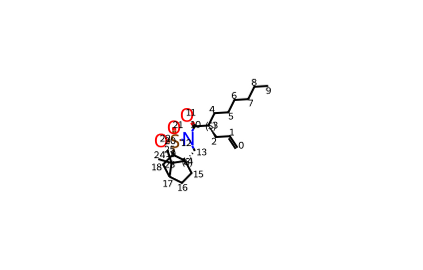 C=CC[C@H](CCCCCC)C(=O)N1C[C@@]23CCC(CC2S1(=O)=O)C3(C)C